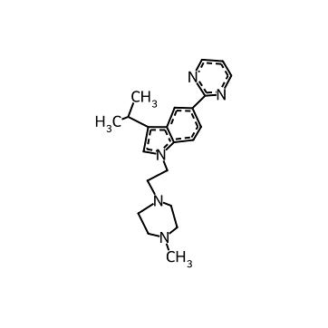 CC(C)c1cn(CCN2CCN(C)CC2)c2ccc(-c3ncccn3)cc12